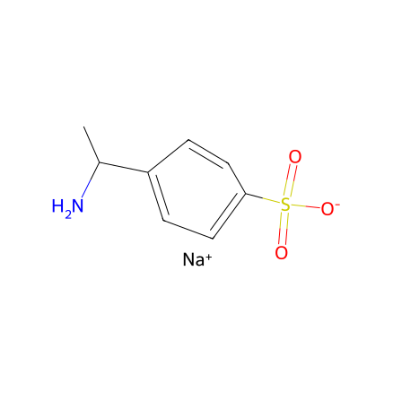 CC(N)c1ccc(S(=O)(=O)[O-])cc1.[Na+]